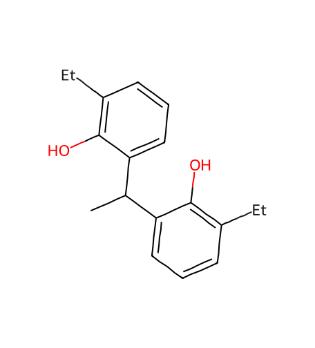 CCc1cccc(C(C)c2cccc(CC)c2O)c1O